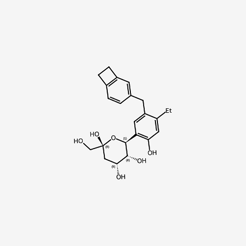 CCc1cc(O)c([C@@H]2O[C@@](O)(CO)C[C@@H](O)[C@H]2O)cc1Cc1ccc2c(c1)CC2